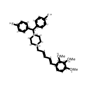 COc1ccc(C=CC=CCN2CCN(C(c3ccc(F)cc3)c3ccc(F)cc3)CC2)c(OC)c1OC